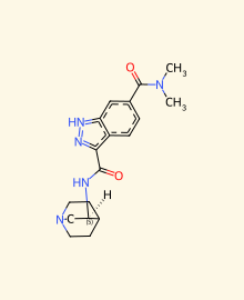 CN(C)C(=O)c1ccc2c(C(=O)N[C@@H]3CN4CCC3CC4)n[nH]c2c1